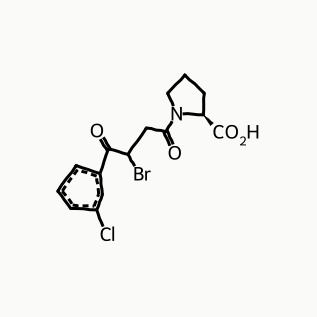 O=C(c1cccc(Cl)c1)C(Br)CC(=O)N1CCC[C@H]1C(=O)O